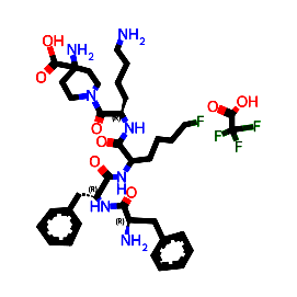 NCCCC[C@@H](NC(=O)C(CCCCF)NC(=O)[C@@H](Cc1ccccc1)NC(=O)[C@H](N)Cc1ccccc1)C(=O)N1CCC(N)(C(=O)O)CC1.O=C(O)C(F)(F)F